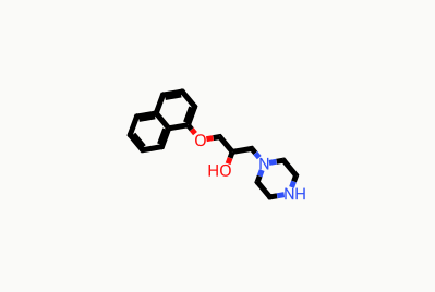 OC(COc1cccc2ccccc12)CN1CCNCC1